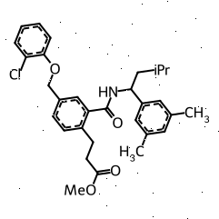 COC(=O)CCc1ccc(COc2ccccc2Cl)cc1C(=O)NC(CC(C)C)c1cc(C)cc(C)c1